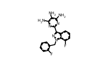 Nc1nc(-c2nn(Cc3ccccc3F)c3c(F)cccc23)nc(N)c1N